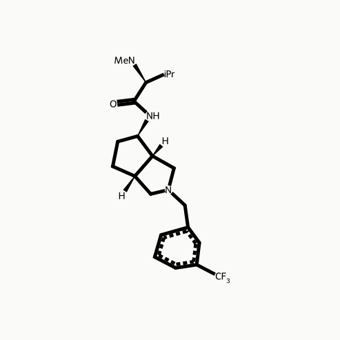 CN[C@H](C(=O)N[C@@H]1CC[C@H]2CN(Cc3cccc(C(F)(F)F)c3)C[C@H]21)C(C)C